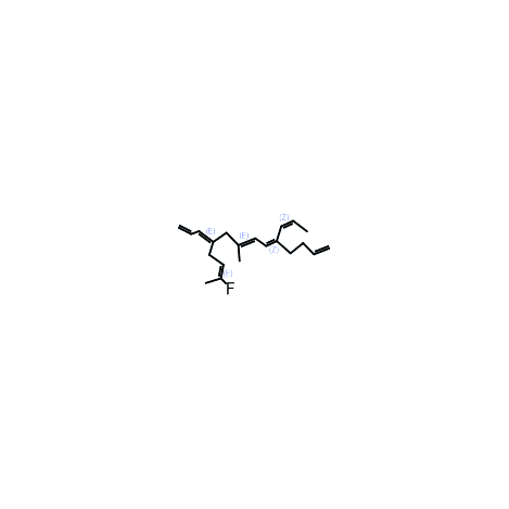 C=C/C=C(\C/C=C(\C)F)C/C(C)=C/C=C(\C=C/C)CCC=C